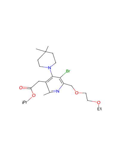 CCOCCOCc1nc(C)c(CC(=O)OC(C)C)c(N2CCC(C)(C)CC2)c1Br